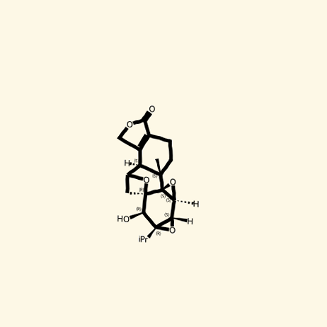 CC(C)[C@]12O[C@H]1[C@@H]1O[C@@]13[C@@]1(C)CCC4=C(COC4=O)[C@@H]1C1C[C@@]3(O1)[C@@H]2O